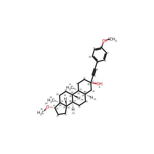 COc1ccc(C#C[C@@]2(O)CC[C@@]3(C)[C@H](CC[C@@H]4[C@@H]3CC[C@]3(C)[C@@H](OC)CC[C@@H]43)C2)cc1